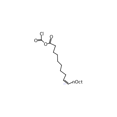 CCCCCCCC/C=C\CCCCCCCC(=O)OC(=O)Cl